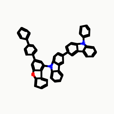 c1ccc(-c2ccc(-c3cc(-n4c5ccccc5c5cc(-c6ccc7c(c6)c6ccccc6n7-c6ccccc6)ccc54)c4c(c3)oc3ccccc34)cc2)cc1